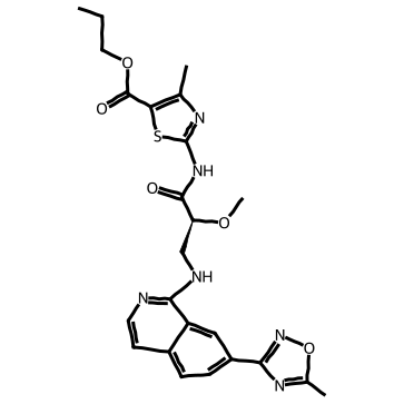 CCCOC(=O)c1sc(NC(=O)[C@H](CNc2nccc3ccc(-c4noc(C)n4)cc23)OC)nc1C